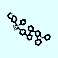 c1ccc(-n2c(-c3ccc(-c4ccccc4-c4ccccc4-c4ccc5c(c4)c4ccccc4n5-c4ccccc4)cc3)nnc2-c2ccc3ccccc3c2)cc1